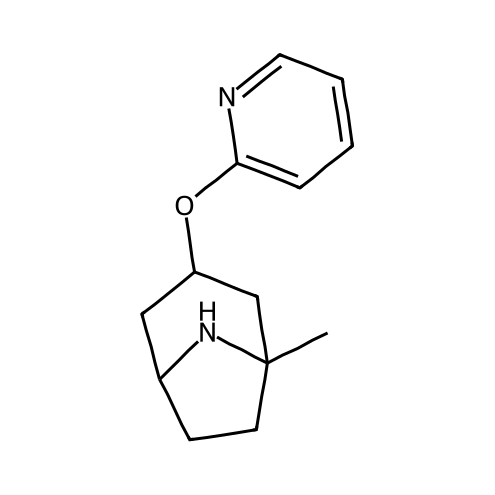 CC12CCC(CC(Oc3ccccn3)C1)N2